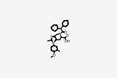 COc1ccc(-n2c(C)nc3c2CC(C(=O)O)N(C(=O)C(c2ccccc2)c2ccccc2)C3)cc1C